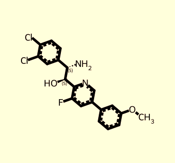 COc1cccc(-c2cnc([C@@H](O)[C@@H](N)c3ccc(Cl)c(Cl)c3)c(F)c2)c1